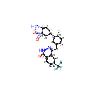 Nc1ccc(-c2cc(Cc3n[nH]c(=O)c4ccc(C(F)(F)F)cc34)ccc2F)cc1[N+](=O)[O-]